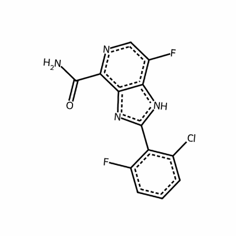 NC(=O)c1ncc(F)c2[nH]c(-c3c(F)cccc3Cl)nc12